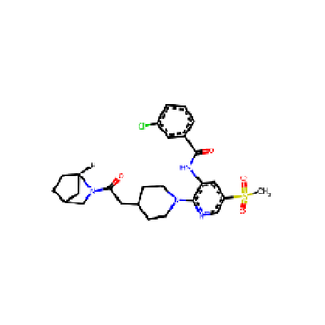 CS(=O)(=O)c1cnc(N2CCC(CC(=O)N3CC4CC[C@H]3C4)CC2)c(NC(=O)c2cccc(Cl)c2)c1